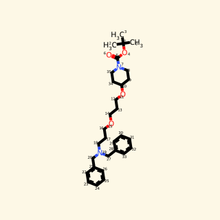 CC(C)(C)OC(=O)N1CCC(OCCCOCCCN(Cc2ccccc2)Cc2ccccc2)CC1